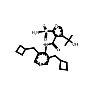 CC(C)(O)c1coc(S(N)(=O)=O)c1C(=O)Nc1c(CC2CCC2)cncc1CC1CCC1